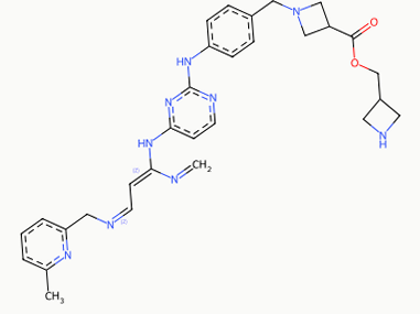 C=N/C(=C\C=N/Cc1cccc(C)n1)Nc1ccnc(Nc2ccc(CN3CC(C(=O)OCC4CNC4)C3)cc2)n1